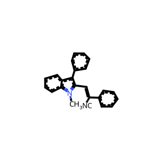 Cn1c(/C=C(\C#N)c2ccccc2)c(-c2ccccc2)c2ccccc21